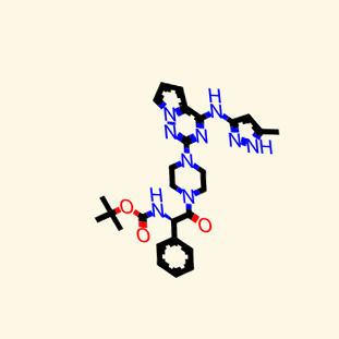 Cc1cc(Nc2nc(N3CCN(C(=O)[C@H](NC(=O)OC(C)(C)C)c4ccccc4)CC3)nn3cccc23)n[nH]1